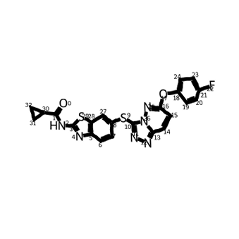 O=C(Nc1nc2ccc(Sc3nnc4ccc(Oc5ccc(F)cc5)nn34)cc2s1)C1CC1